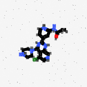 CC(=O)Nc1cc(-c2nc(N3CCNCC3)c3c(Cl)cncc3n2)ccn1